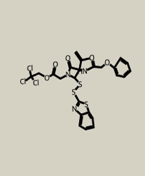 C=C(C)C1(NC(=O)COc2ccccc2)C(=O)N(CC(=O)OCC(Cl)(Cl)Cl)C1SSc1nc2ccccc2s1